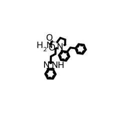 NC(=O)[C@@H]1CCC[N+]1(C(=O)CCc1nc2ccccc2[nH]1)c1ccccc1Cc1ccccc1